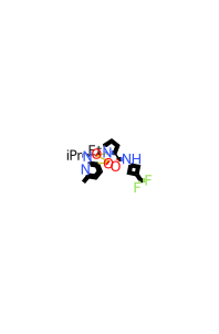 CCN(c1nc(C)ccc1S(=O)(=O)N1CCC[C@H]1C(=O)NC1CC(C(F)F)C1)C(C)C